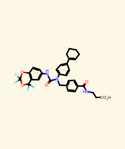 O=C(O)CCNC(=O)c1ccc(CN(C(=O)Nc2ccc3c(c2)C(F)(F)OC(F)(F)O3)c2ccc(C3=CCCCC3)cc2)cc1